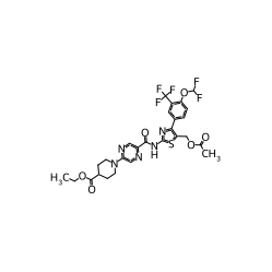 CCOC(=O)C1CCN(c2cnc(C(=O)Nc3nc(-c4ccc(OC(F)F)c(C(F)(F)F)c4)c(COC(C)=O)s3)cn2)CC1